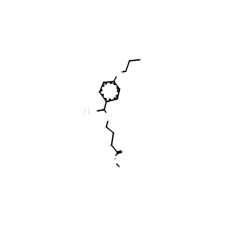 CCCOc1ccc(C(O)OCCCC(=O)OC)cc1